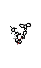 Cc1cc(C)c(-c2cc(-n3c(-c4ccccc4)nc4ccc(-n5c6ccccc6c6ccccc65)cc43)c(-c3c(C)cc(C)cc3C)s2)c(C)c1